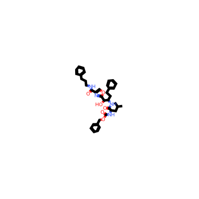 CC(C)CC(NC(=O)OCc1ccccc1)C(=O)NC(CCc1ccccc1)C(O)c1nc(C(=O)NCCCc2ccccc2)co1